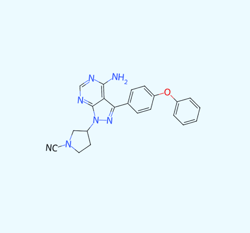 N#CN1CCC(n2nc(-c3ccc(Oc4ccccc4)cc3)c3c(N)ncnc32)C1